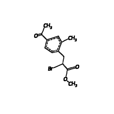 COC(=O)C(Br)Cc1ccc(C(C)=O)cc1C